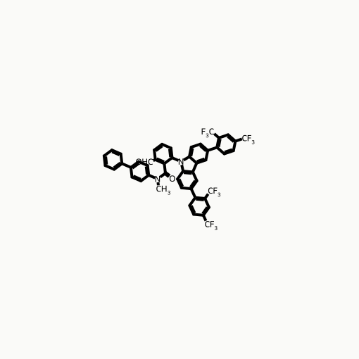 CN(C(=O)c1c(C=O)cccc1-n1c2ccc(-c3ccc(C(F)(F)F)cc3C(F)(F)F)cc2c2cc(-c3ccc(C(F)(F)F)cc3C(F)(F)F)ccc21)c1ccc(-c2ccccc2)cc1